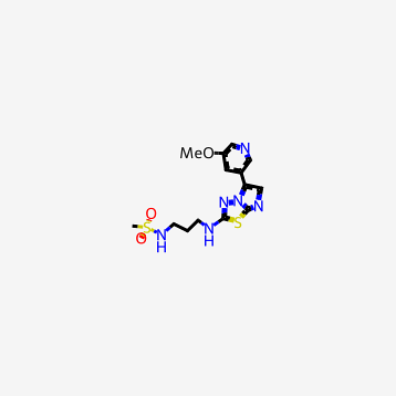 COc1cncc(-c2cnc3sc(NCCCNS(C)(=O)=O)nn23)c1